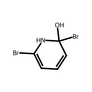 OC1(Br)C=CC=C(Br)N1